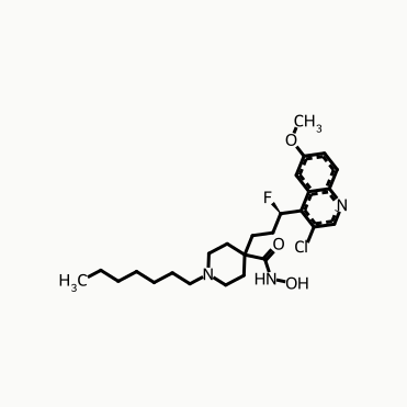 CCCCCCCN1CCC(CC[C@@H](F)c2c(Cl)cnc3ccc(OC)cc23)(C(=O)NO)CC1